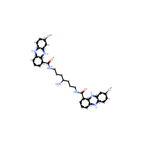 NC(CCCNC(=O)c1cccc2nc3ccc(Cl)cc3nc12)CCCNC(=O)c1cccc2nc3ccc(Cl)cc3nc12